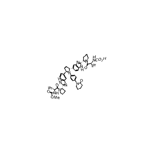 COC(=O)N[C@H](C(=O)N1CCC[C@H]1c1nc2cc([C@H]3CC[C@H](c4ccc5[nH]c([C@@H]6CCCN6C(=O)[C@@H](NC(=O)O)C(C)C)nc5c4)N3c3ccc(N4CCCCC4=O)cc3)ccc2[nH]1)C(C)C